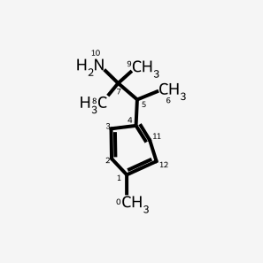 Cc1ccc(C(C)C(C)(C)N)cc1